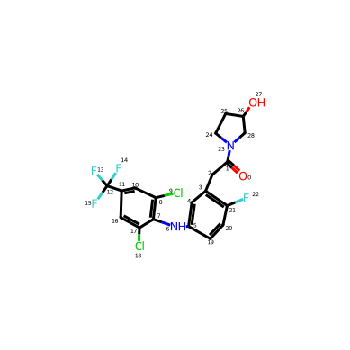 O=C(Cc1cc(Nc2c(Cl)cc(C(F)(F)F)cc2Cl)ccc1F)N1CCC(O)C1